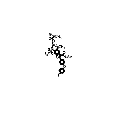 CC[C@H](C)[C@H](N)C(=O)OC[C@@H]1CN(S(C)(=O)=O)c2cc3oc(-c4ccc(Oc5ccc(F)cc5)cc4)c(C(=O)NC)c3cc2[C@H](C)O1